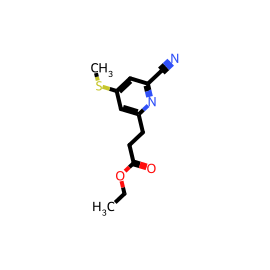 CCOC(=O)CCc1cc(SC)cc(C#N)n1